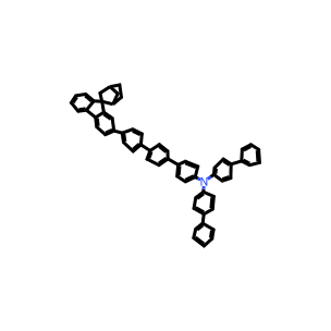 c1ccc(-c2ccc(N(c3ccc(-c4ccccc4)cc3)c3ccc(-c4ccc(-c5ccc(-c6ccc7c(c6)C6(CC8CCC6C8)c6ccccc6-7)cc5)cc4)cc3)cc2)cc1